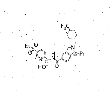 CCS(=O)(=O)c1ccc([C@@H](CO)NC(=O)c2ccc3c(c2)CN(C[C@H]2CC[C@H](C(F)(F)F)CC2)[C@H]3C(C)C)nc1